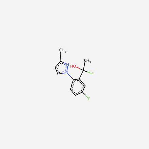 Cc1ccn(-c2ccc(F)cc2C(C)(O)F)n1